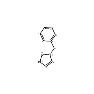 C1=CN(Cc2ccccc2)SN1